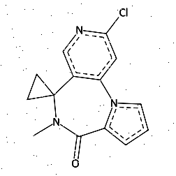 CN1C(=O)c2cccn2-c2cc(Cl)ncc2C12CC2